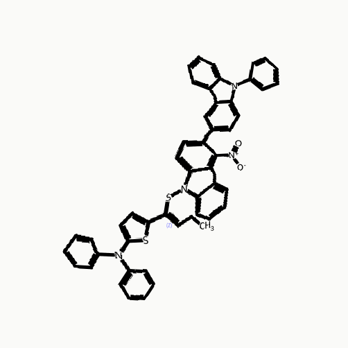 CC/C=C(\Sn1c2ccccc2c2c([N+](=O)[O-])c(-c3ccc4c(c3)c3ccccc3n4-c3ccccc3)ccc21)c1ccc(N(c2ccccc2)c2ccccc2)s1